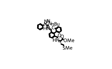 CCCCN1N=NN(c2ccccc2)C1NCc1cccc(C(=O)N[C@@H](CCSC)C(=O)OC)c1-c1ccccc1C